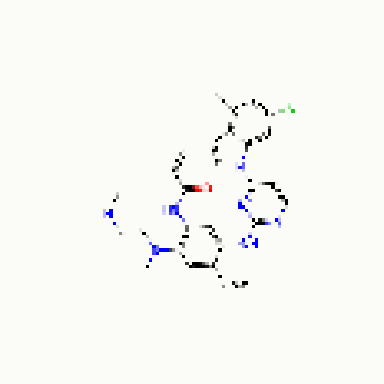 C=CC(=O)Nc1cc(Nc2nccc(-n3ccc4c(C)cc(Cl)cc43)n2)c(OC)cc1N(C)CCN(C)C